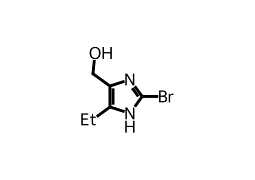 CCc1[nH]c(Br)nc1CO